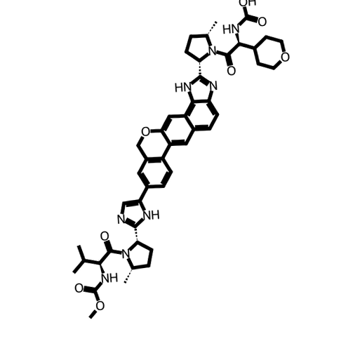 COC(=O)N[C@H](C(=O)N1[C@@H](C)CC[C@H]1c1ncc(-c2ccc3c(c2)COc2cc4c(ccc5nc([C@@H]6CC[C@H](C)N6C(=O)[C@@H](NC(=O)O)C6CCOCC6)[nH]c54)cc2-3)[nH]1)C(C)C